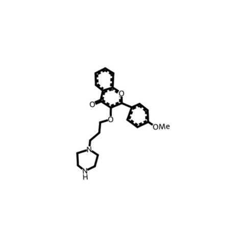 COc1ccc(-c2oc3ccccc3c(=O)c2OCCCN2CCNCC2)cc1